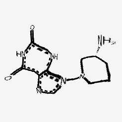 N[C@@H]1CCCN(n2cnc3c(=O)[nH]c(=O)[nH]c32)C1